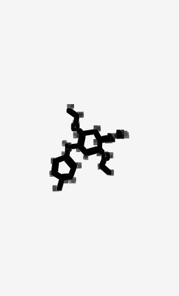 CCOC1=CC(Sc2ccc(C)cc2)=C(OCC)CC1=[N+]=[N-]